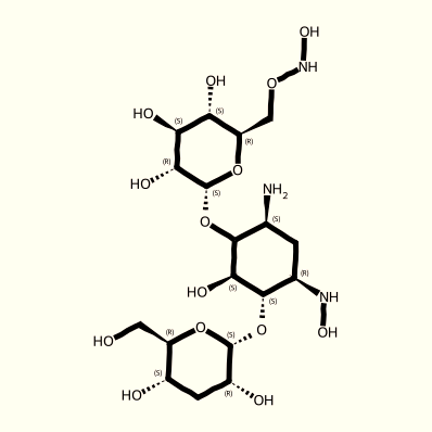 N[C@H]1C[C@@H](NO)[C@H](O[C@H]2O[C@H](CO)[C@@H](O)C[C@H]2O)[C@@H](O)C1O[C@H]1O[C@H](CONO)[C@@H](O)[C@H](O)[C@H]1O